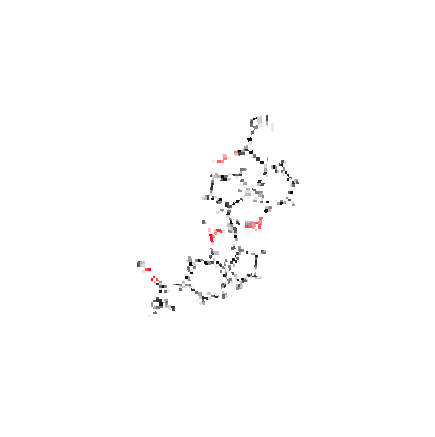 CC(=O)c1cccc([O][Zr]([O]c2cccc(C(C)=O)c2)([C]2=CC=CC2)[C]2=CC=CC2)c1